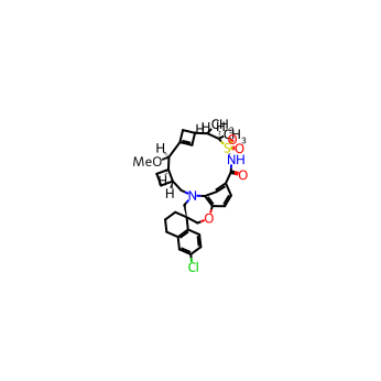 CO[C@H]1C2=C[C@H](C2)[C@H](C)[C@@H](C)S(=O)(=O)NC(=O)c2ccc3c(c2)N(C[C@@H]2CC[C@H]21)C[C@@]1(CCCc2cc(Cl)ccc21)CO3